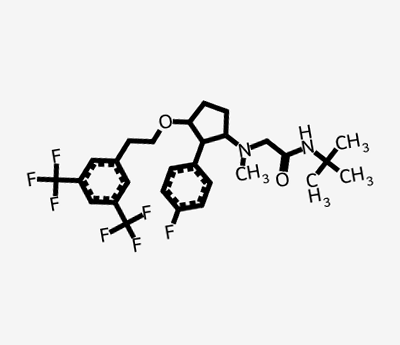 CN(CC(=O)NC(C)(C)C)C1CCC(OCCc2cc(C(F)(F)F)cc(C(F)(F)F)c2)C1c1ccc(F)cc1